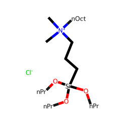 CCCCCCCC[N+](C)(C)CCC[Si](OCCC)(OCCC)OCCC.[Cl-]